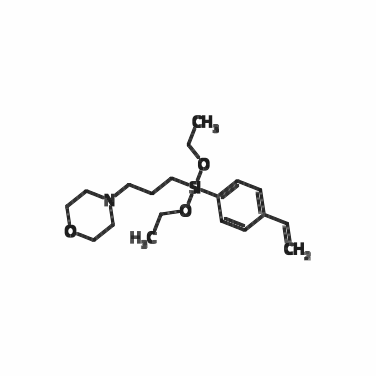 C=Cc1ccc([Si](CCCN2CCOCC2)(OCC)OCC)cc1